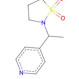 CC(c1ccncc1)N1CCCS1(=O)=O